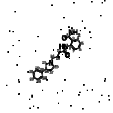 NC(=O)c1ccccc1NC(=O)CCCN1CCC(c2ccccc2)C1